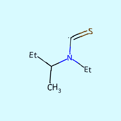 CCC(C)N([C]=S)CC